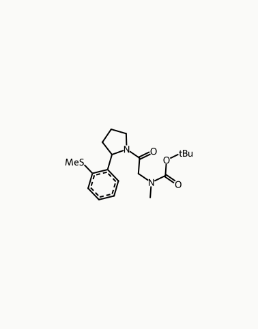 CSc1ccccc1C1CCCN1C(=O)CN(C)C(=O)OC(C)(C)C